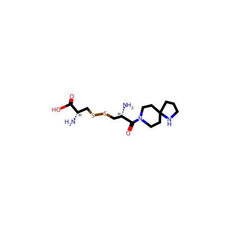 N[C@@H](CSSC[C@H](N)C(=O)N1CCC2(CCCN2)CC1)C(=O)O